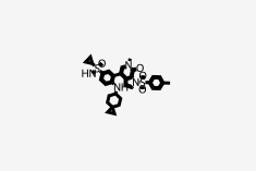 Cc1ccc(S(=O)(=O)n2ccc3c(-c4cc(S(=N)(=O)C5CC5)ccc4NC4CCC5(CC4)CC5)cn(C)c(=O)c32)cc1